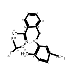 Cc1ccc(C)c(OCc2ccccc2C(C#N)=NOC(F)F)c1